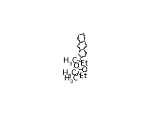 CCC(C)(C)C(=O)OC(C)(CC)c1ccc2cc3ccccc3cc2c1